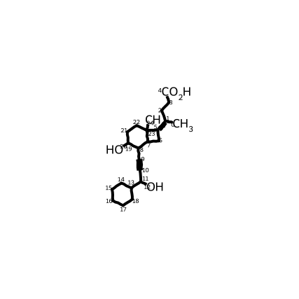 C/C(CCC(=O)O)=C1\CC2C(C#CC(O)C3CCCCC3)C(O)CCC12C